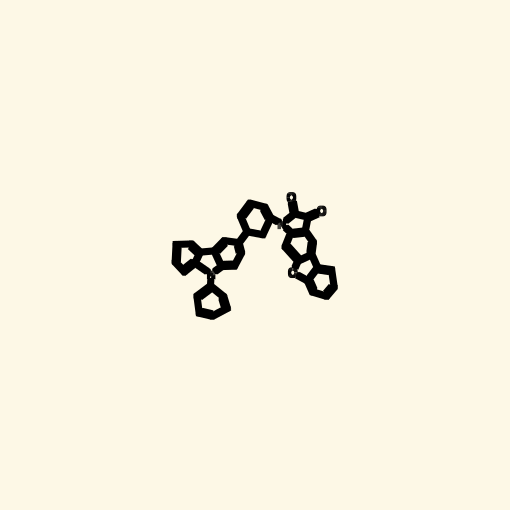 O=C1C(=O)N(C2=CC=CC(c3ccc4c(c3)c3ccccc3n4-c3ccccc3)C2)c2cc3oc4ccccc4c3cc21